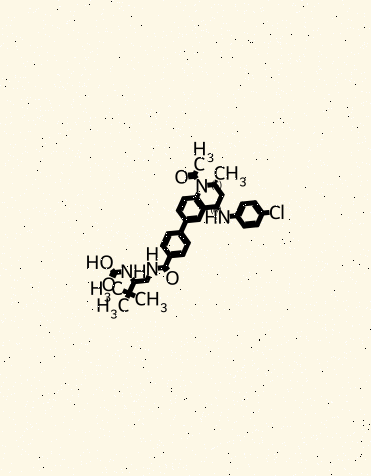 CC(=O)N1c2ccc(-c3ccc(C(=O)NCC(NC(=O)O)C(C)(C)C)cc3)cc2[C@H](Nc2ccc(Cl)cc2)C[C@@H]1C